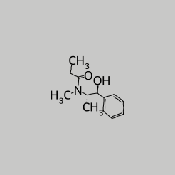 CCC(=O)N(C)[C@@H](C)[C@@H](O)c1ccccc1